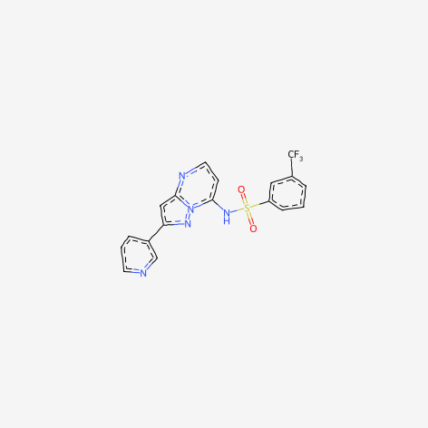 O=S(=O)(Nc1ccnc2cc(-c3cccnc3)nn12)c1cccc(C(F)(F)F)c1